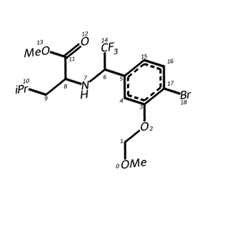 COCOc1cc(C(NC(CC(C)C)C(=O)OC)C(F)(F)F)ccc1Br